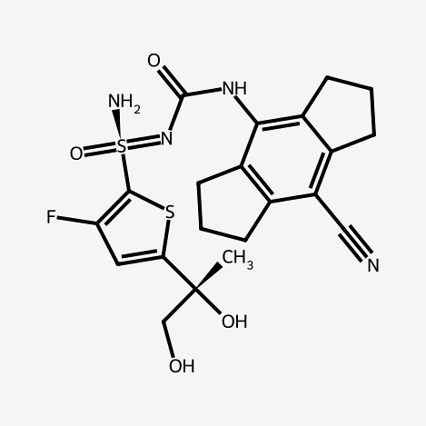 C[C@@](O)(CO)c1cc(F)c([S@](N)(=O)=NC(=O)Nc2c3c(c(C#N)c4c2CCC4)CCC3)s1